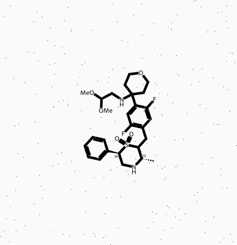 COC(CNC1(c2cc(F)c(CC3[C@H](C)NC[C@@H](c4ccccc4)S3(=O)=O)cc2F)CCOCC1)OC